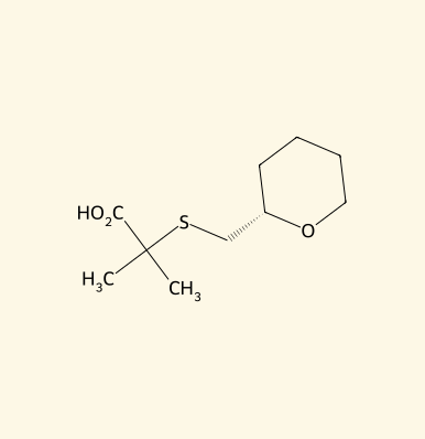 CC(C)(SC[C@@H]1CCCCO1)C(=O)O